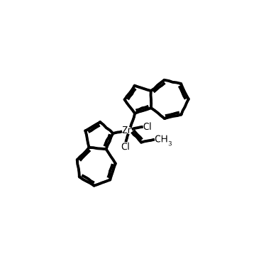 C[CH]=[Zr]([Cl])([Cl])([c]1ccc2cccccc1-2)[c]1ccc2cccccc1-2